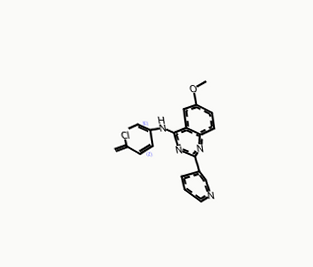 C=C(Cl)/C=C\C(=C/C)Nc1nc(-c2cccnc2)nc2ccc(OC)cc12